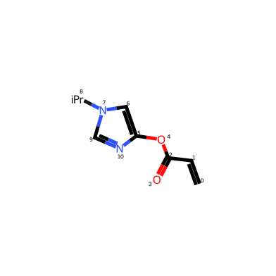 C=CC(=O)Oc1cn(C(C)C)cn1